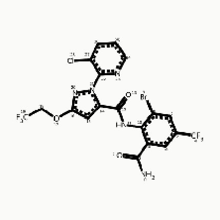 NC(=O)c1cc(C(F)(F)F)cc(Br)c1NC(=O)c1cc(OCC(F)(F)F)nn1-c1ncccc1Cl